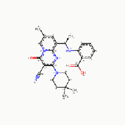 Cc1cc([C@@H](C)Nc2ccccc2C(=O)O)c2nc(N3CCC(C)(C)CC3)c(C#N)c(=O)n2c1